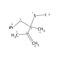 C=C(C)C(C)(CC(C)C)SI